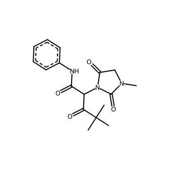 CN1CC(=O)N(C(C(=O)Nc2ccccc2)C(=O)C(C)(C)C)C1=O